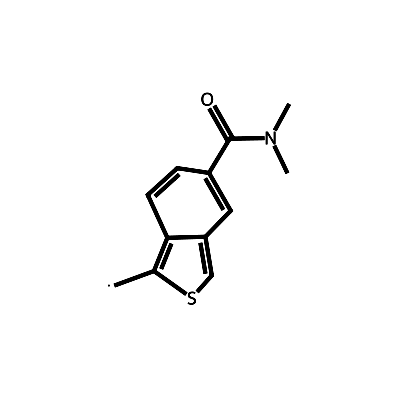 [CH2]c1scc2cc(C(=O)N(C)C)ccc12